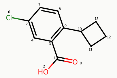 O=C(O)c1cc(Cl)ccc1C1CCC1